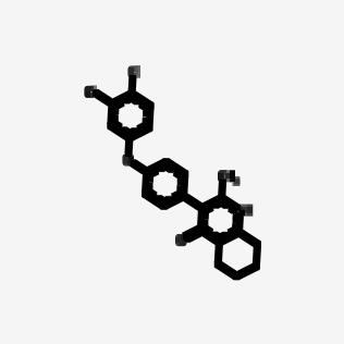 Cc1[nH]c2c(c(=O)c1-c1ccc(Oc3ccc(Cl)c(Cl)c3)cc1)CCCC2